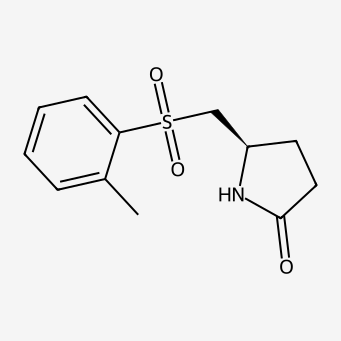 Cc1ccccc1S(=O)(=O)C[C@H]1CCC(=O)N1